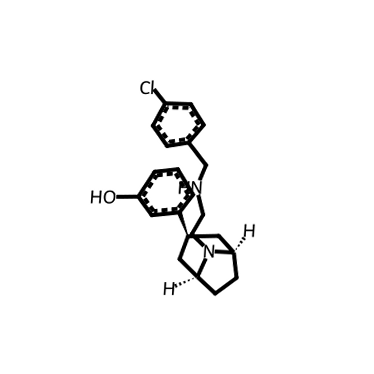 Oc1cccc([C@H]2C[C@H]3CC[C@@H](C2)N3CCNCc2ccc(Cl)cc2)c1